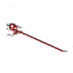 COCCOCCOCCOCCOCCOCCOCCOCCOCCOCCOCCOCCOCCOCCOCCOCCOCCOCCOCCOCCOCCOCCOCCOCCC(=O)NCCCCC(NC(=O)[C@@H](NC(=O)CCCC(=O)O)C(C)C)C(=O)NCc1ccc([C@H]2O[C@@H]2[C@@H](C)[C@@H]2C/C=C/C(=O)N[C@H](Cc3ccc(OC)c(Cl)c3)C(=O)NCC(C)(C)C(=O)O[C@@H](CC(C)C)C(=O)O2)cc1